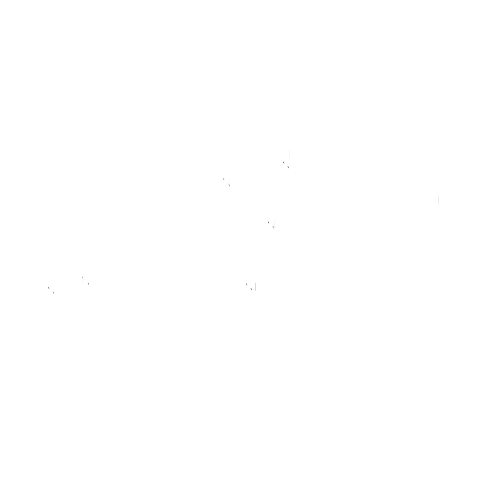 COc1nc(NC2CCC(O)CC2)nc2[nH]cc(-c3ccn4nccc4c3)c12